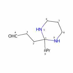 CCCC1(CCC=O)NCCCN1